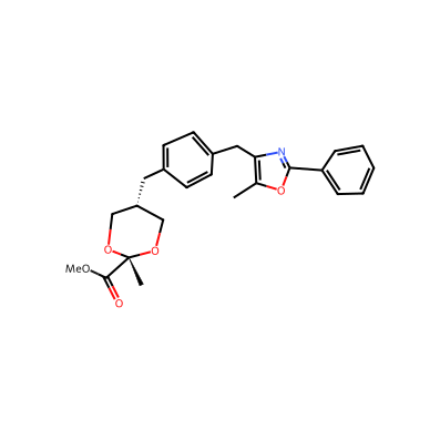 COC(=O)[C@]1(C)OC[C@H](Cc2ccc(Cc3nc(-c4ccccc4)oc3C)cc2)CO1